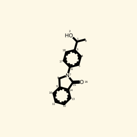 CC(O)c1ccc(N2Cc3ccccc3C2=O)cc1